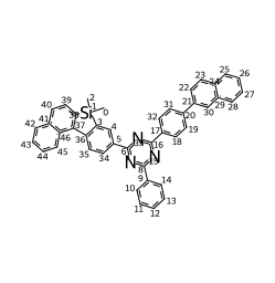 C[Si]1(C)c2cc(-c3nc(-c4ccccc4)nc(-c4ccc(-c5ccc6ccccc6c5)cc4)n3)ccc2-c2c1ccc1ccccc21